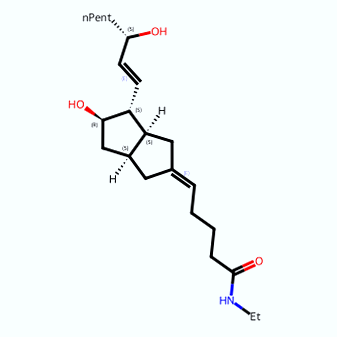 CCCCC[C@H](O)/C=C/[C@@H]1[C@H]2C/C(=C/CCCC(=O)NCC)C[C@H]2C[C@H]1O